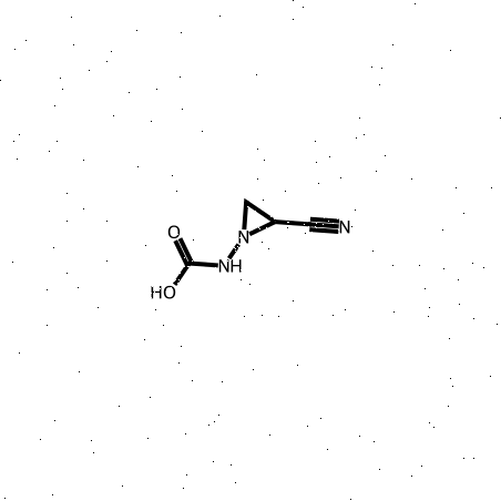 N#CC1CN1NC(=O)O